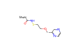 CNC(=O)NSCCOCc1cnccn1